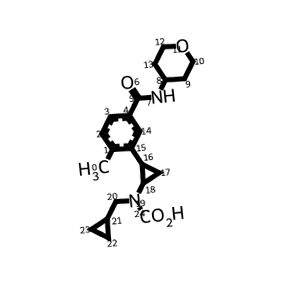 Cc1ccc(C(=O)NC2CCOCC2)cc1C1CC1N(CC1CC1)C(=O)O